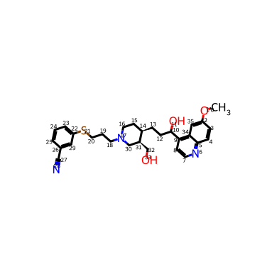 COc1ccc2nccc(C(O)CC[C@@H]3CCN(CCCSc4cccc(C#N)c4)C[C@@H]3CO)c2c1